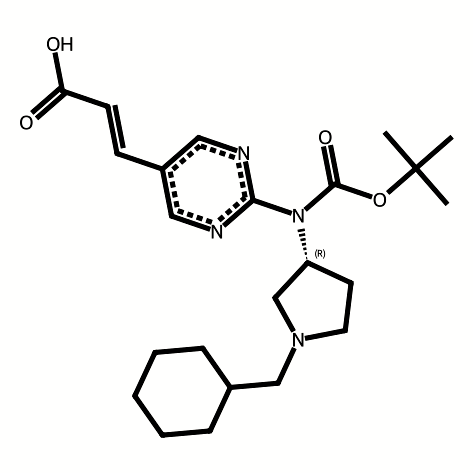 CC(C)(C)OC(=O)N(c1ncc(C=CC(=O)O)cn1)[C@@H]1CCN(CC2CCCCC2)C1